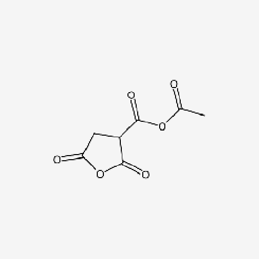 CC(=O)OC(=O)C1CC(=O)OC1=O